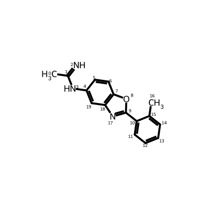 CC(=N)Nc1ccc2oc(-c3ccccc3C)nc2c1